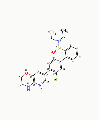 CCN(CC)[S+]([O-])c1ccccc1-c1ccc(-c2cnc3c(c2)OCCN3)c(F)c1